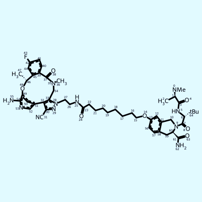 CN[C@H](C)C(=O)N[C@@H](C(=O)N1Cc2cc(OCCCCCCCCC(=O)NCCn3nc(C#N)c4c3CN(C)C(=O)c3ccc(F)cc3[C@@H](C)Oc3cc-4cnc3N)ccc2C[C@@H]1C(N)=O)C(C)(C)C